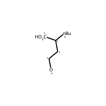 CCCCC(CC[O])C(=O)O